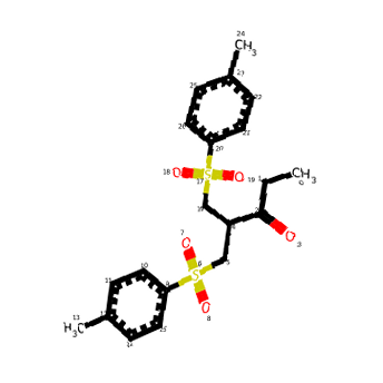 CCC(=O)C(CS(=O)(=O)c1ccc(C)cc1)CS(=O)(=O)c1ccc(C)cc1